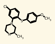 COc1ccc(Sc2ccc(Cl)cc2N2CC[N][C@H](C)C2)cc1